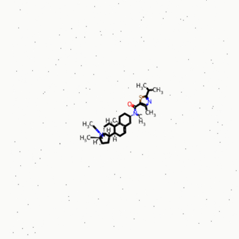 Cc1nc(C(C)C)sc1C(=O)N(C)[C@H]1CC[C@@]2(C)C(=CC[C@@H]3C2CC[C@]24CN(C)[C@@H](C)[C@H]2CC[C@@H]34)C1